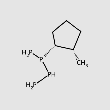 C[C@H]1CCC[C@H]1P(P)PP